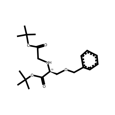 CC(C)(C)OC(=O)CN[C@@H](COCc1ccccc1)C(=O)OC(C)(C)C